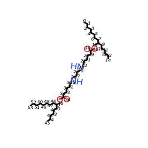 CCCCCCCCC(CCCCCC)COC(=O)CCCCCNCCCCNCCCCCC(=O)OCC(CCCCCC)CCCCCCCC